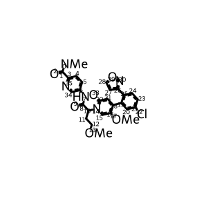 CNC(=O)c1ccc(NC(=O)C(CCOC)n2cc(OC)c(-c3cc(Cl)ccc3-c3ccon3)cc2=O)cn1